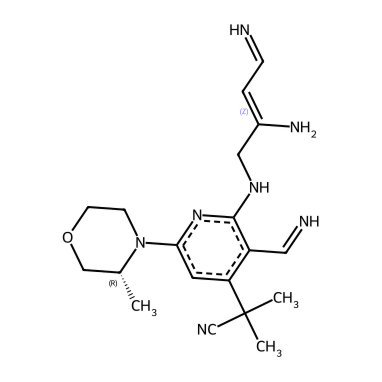 C[C@@H]1COCCN1c1cc(C(C)(C)C#N)c(C=N)c(NC/C(N)=C/C=N)n1